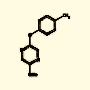 COc1cnc(Oc2ccc(C)cc2)cn1